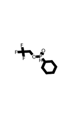 O=[PH](OCC(F)(F)F)C1CCCCC1